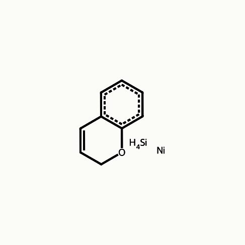 C1=Cc2ccccc2OC1.[Ni].[SiH4]